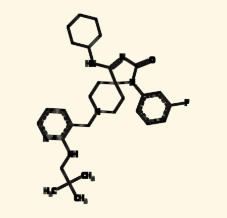 CC(C)(C)CNc1ncccc1CN1CCC2(CC1)C(NC1CCCCC1)=NC(=O)N2c1cccc(F)c1